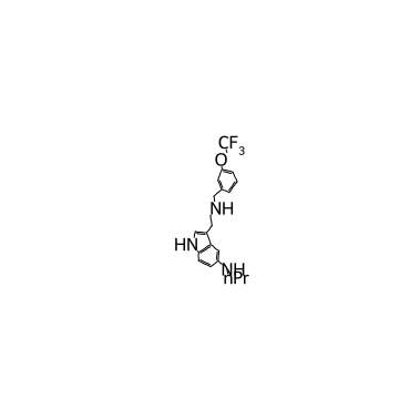 CCCNc1ccc2[nH]cc(CCNCc3cccc(OCC(F)(F)F)c3)c2c1